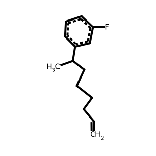 C=CCCCCC(C)c1cccc(F)c1